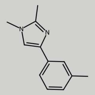 Cc1cccc(-c2cn(C)c(C)n2)c1